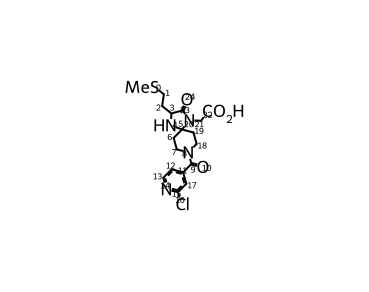 CSCCC1NC2(CCN(C(=O)c3ccnc(Cl)c3)CC2)N(CC(=O)O)C1=O